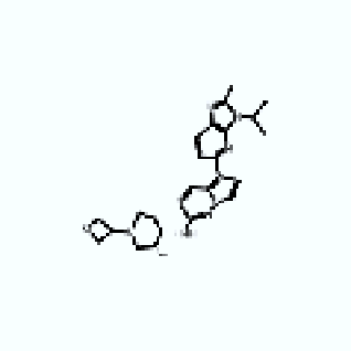 Cc1nc2ccc(-c3ccn4nc(N[C@H]5CCN(C6COC6)C[C@H]5F)ncc34)nc2n1C(C)C